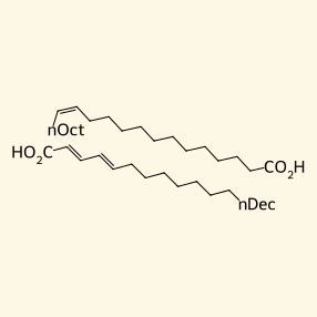 CCCCCCCC/C=C\CCCCCCCCCCCC(=O)O.CCCCCCCCCCCCCCCCC/C=C/C=C/C(=O)O